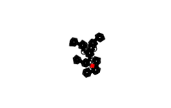 c1ccc(-c2cccc(N(c3cc4c5c(c3)Oc3cc(-c6ccccc6)ccc3B5c3ccc(-c5ccccc5)cc3O4)c3cccc4c3oc3c(-c5ccccc5)cccc34)c2)cc1